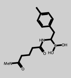 CNC(=O)CCCC(=O)NC(Cc1ccc(C)cc1)B(O)O